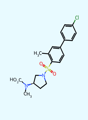 Cc1cc(-c2ccc(Cl)cc2)ccc1S(=O)(=O)N1CC[C@@H](N(C)C(=O)O)C1